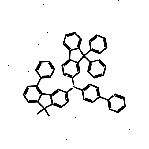 CC1(C)c2ccc(N(c3ccc(-c4ccccc4)cc3)c3ccc4c(c3)C(c3ccccc3)(c3ccccc3)c3ccccc3-4)cc2-c2c(-c3ccccc3)cccc21